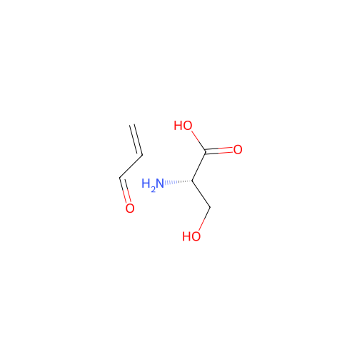 C=CC=O.N[C@@H](CO)C(=O)O